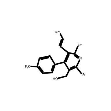 CCCC=Cc1c(C(C)C)nc(C(C)C)c(CO)c1-c1ccc(C(F)(F)F)cc1